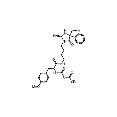 COc1ccc(C[C@H](NC(=O)OC(=O)C(F)(F)F)C(=O)N[C@@H](C)CCCN2C(=N)N[C@](CC(C)C)(c3ccccc3)C2=O)cc1